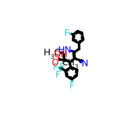 CC1NC(Cc2cccc(F)c2)=C(C#N)C(c2ccc(F)cc2C(F)(F)F)C1(C)C(=O)O